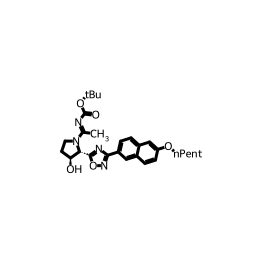 CCCCCOc1ccc2cc(-c3noc([C@@H]4[C@@H](O)CCN4/C(C)=N/C(=O)OC(C)(C)C)n3)ccc2c1